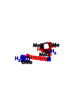 COc1cccc2cc(-c3nc([C@H]4CC[C@H](C(=O)NCCOCCOCCOCCOCCOCCOCCOCCOCCn5cc(CCCCO[C@@H]6CC[C@@H](C[C@@H](N)[C@@H]7CC(=O)[C@H](C)/C=C(\C)[C@@H](O)[C@@H](OC)C(=O)[C@H](C)C[C@H](C)/C=C/C=C/C=C(\C)[C@@H](OC)C[C@@H]8CC[C@@H](C)[C@@](O)(O8)C(=O)C(=O)N8CCCC[C@H]8C(=O)O7)C[C@H]6OC)nn5)CC4)n4ncnc(N)c34)[nH]c12